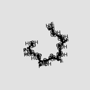 O=P(O)(O)OCC(CNF)COP(=O)(O)OCCOP(=O)(O)OCC(CNF)COP(=O)(O)OCCOP(=O)(O)OCC(CNF)COP(=O)(O)OCCOP(=O)(O)OCC(CNF)COP(=O)(O)OCCOP(=O)(O)OCC(CO)CNF